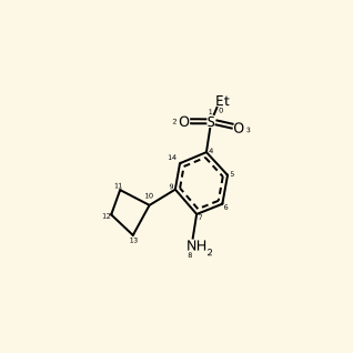 CCS(=O)(=O)c1ccc(N)c(C2CCC2)c1